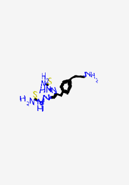 NCCc1ccc(CC(C=NNC(N)=S)=NNC(N)=S)cc1